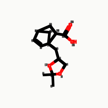 CC1(C)OCC(CC23C=CC(CC2C(=O)O)C3)O1